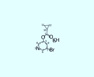 O=C(Oc1cncc(Br)c1)C1CC1.[KH]